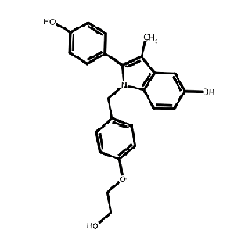 Cc1c(-c2ccc(O)cc2)n(Cc2ccc(OCCO)cc2)c2ccc(O)cc12